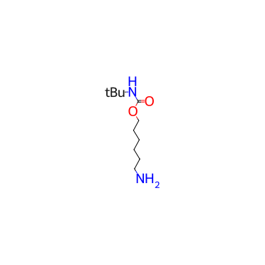 CC(C)(C)NC(=O)OCCCCCCN